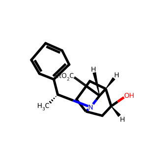 CCOC(=O)[C@@H]1[C@@H]2CCC(C[C@H]2O)N1[C@H](C)c1ccccc1